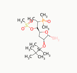 B[C@@H]1O[C@H](C(OS(C)(=O)=O)C(C)P(C)(C)=O)C[C@@H]1O[Si](C)(C)C(C)(C)C